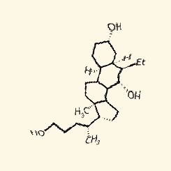 CC[C@@H]1[C@@H]2C[C@@H](O)CC[C@@H]2C2CC[C@@]3(C)C(CC[C@@H]3[C@H](C)CCCO)C2[C@H]1O